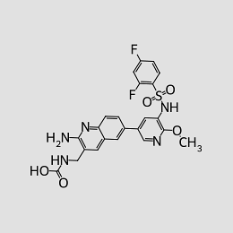 COc1ncc(-c2ccc3nc(N)c(CNC(=O)O)cc3c2)cc1NS(=O)(=O)c1ccc(F)cc1F